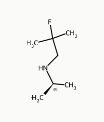 [CH2][C@H](C)NCC(C)(C)F